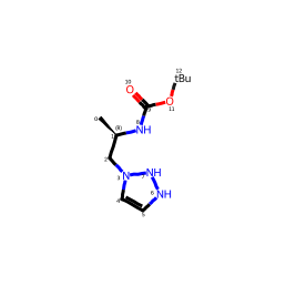 C[C@H](CN1C=CNN1)NC(=O)OC(C)(C)C